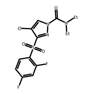 CCN(CC)C(=O)n1cc(Cl)c(S(=O)(=O)c2ccc(F)cc2F)n1